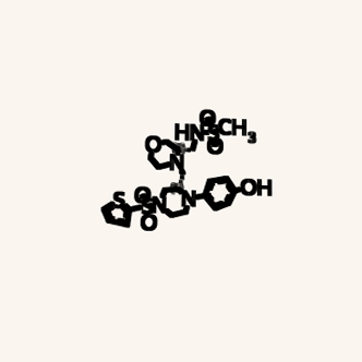 CS(=O)(=O)NC[C@H]1COCCN1C[C@H]1CN(S(=O)(=O)c2cccs2)CCN1c1ccc(O)cc1